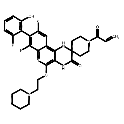 C=CC(=O)N1CCC2(CC1)Nc1c(c(OCCN3CCCCC3)nc3c(F)c(-c4c(O)cccc4F)c(Cl)cc13)NC2=O